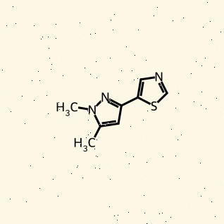 Cc1cc(-c2cncs2)nn1C